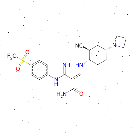 N#C[C@H]1C[C@H](N2CCC2)CC[C@@H]1N/C=C(\C(=N)Nc1ccc(S(=O)(=O)C(F)(F)F)cc1)C(N)=O